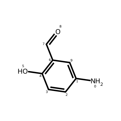 Nc1ccc(O)c(C=O)c1